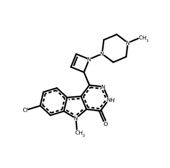 CN1CCN(N2C=CC2c2n[nH]c(=O)c3c2c2ccc(Cl)cc2n3C)CC1